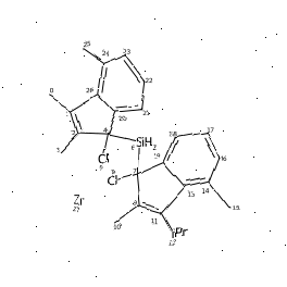 CC1=C(C)C(Cl)([SiH2]C2(Cl)C(C)=C(C(C)C)c3c(C)cccc32)c2cccc(C)c21.[Zr]